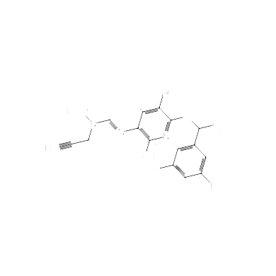 C#CCN(C)/C=N/c1cc(Br)c(OC(C)c2cc(F)cc(F)c2)nc1C